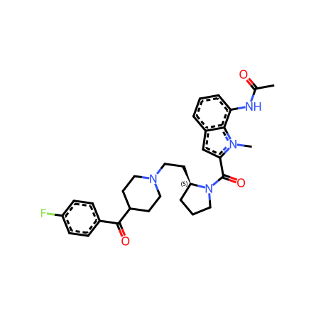 CC(=O)Nc1cccc2cc(C(=O)N3CCC[C@H]3CCN3CCC(C(=O)c4ccc(F)cc4)CC3)n(C)c12